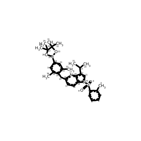 Cc1ccccc1S(=O)(=O)n1cc(C(C)C)c2nc(Cc3c(C)cc(B4OC(C)(C)C(C)(C)O4)cc3C)ccc21